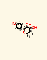 CC[C@H]1O[C@H](c2ccc(O)cc2)[C@@H](O)[C@@H](O)[C@@H]1C